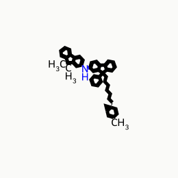 CC1=CC2C[C@@]2(CCCCCCCC2(c3ccccc3)c3ccccc3-c3ccc(Nc4ccc5c(c4)C(C)(C)c4ccccc4-5)cc32)C=C1